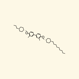 CCCCCCCCC[C@H]1CC[C@H](COc2ccc(-c3ccc(OC[C@H]4CC[C@H](CCC)CC4)c(C)c3)cc2C)CC1